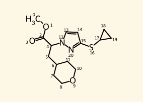 COC(=O)C(CC1CCOCC1)n1ccc(SC2CC2)n1